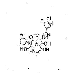 CO[C@@H]1[C@@H](n2cc(-c3cc(F)c(Cl)c(F)c3)nn2)[C@@H](O)[C@@H](CO)O[C@H]1C(=O)N(c1cc(C)cc(Br)c1)[C@@H]1CN(C(C)=O)C[C@H]1O